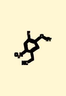 CC(C)Oc1cc(CC#N)c([N+](=O)[O-])cc1F